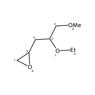 CCOC(COC)CC1CO1